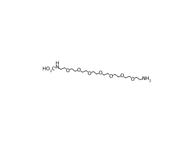 NCCOCCOCCOCCOCCOCCOCCOCCNC(=O)O